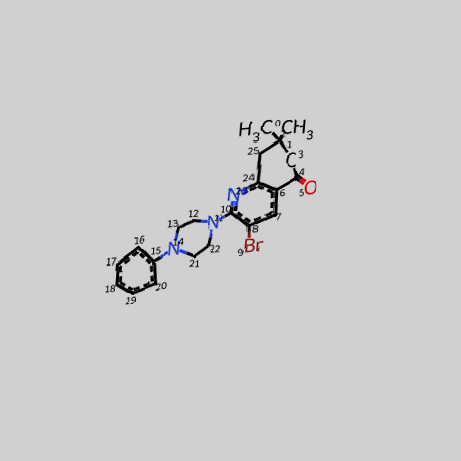 CC1(C)CC(=O)c2cc(Br)c(N3CCN(c4ccccc4)CC3)nc2C1